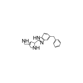 NCC1CNC(c2nc3cc(Cc4ccccc4)ccc3[nH]2)C1